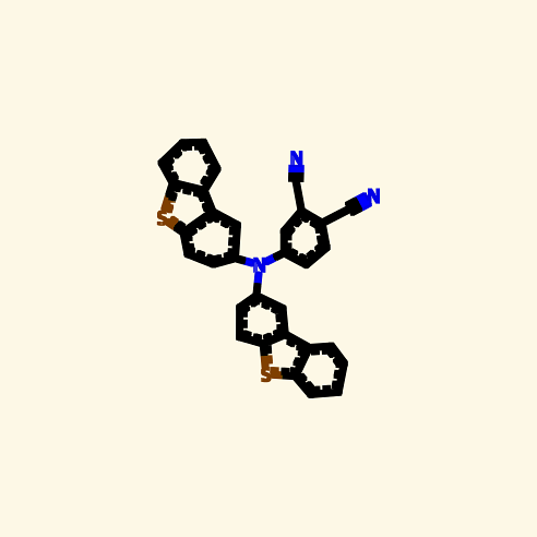 N#Cc1ccc(N(c2ccc3sc4ccccc4c3c2)c2ccc3sc4ccccc4c3c2)cc1C#N